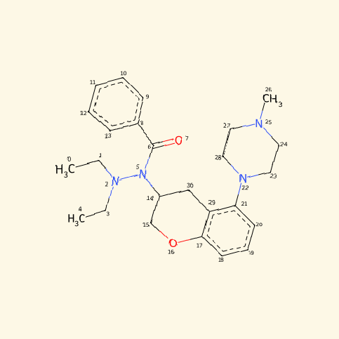 CCN(CC)N(C(=O)c1ccccc1)C1COc2cccc(N3CCN(C)CC3)c2C1